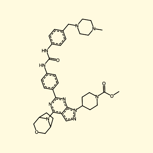 COC(=O)N1CCC(n2ncc3c(N4C5CCC4COC5)nc(-c4ccc(NC(=O)Nc5ccc(CN6CCN(C)CC6)cc5)cc4)nc32)CC1